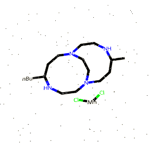 CCCCC1CCN2CCNC(C)CCN(CCN1)CC2.[Cl][Mn][Cl]